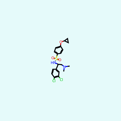 CN(C)CC(NS(=O)(=O)c1ccc(OC2CC2)cc1)c1ccc(Cl)c(Cl)c1